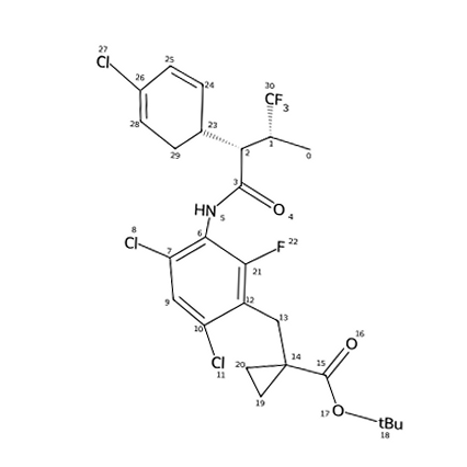 C[C@H]([C@H](C(=O)Nc1c(Cl)cc(Cl)c(CC2(C(=O)OC(C)(C)C)CC2)c1F)C1C=CC(Cl)=CC1)C(F)(F)F